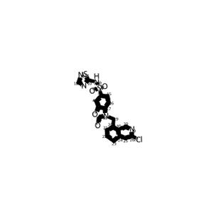 O=c1oc2cc(S(=O)(=O)Nc3ncns3)ccc2n1Cc1cccc2cc(Cl)ncc12